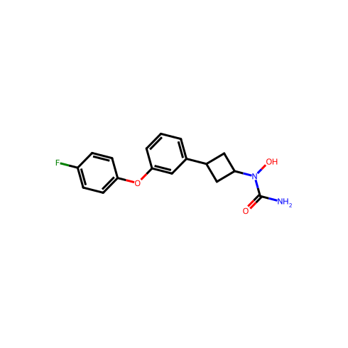 NC(=O)N(O)C1CC(c2cccc(Oc3ccc(F)cc3)c2)C1